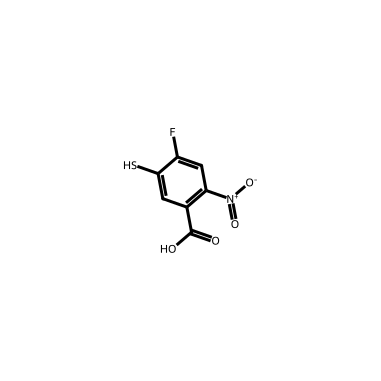 O=C(O)c1cc(S)c(F)cc1[N+](=O)[O-]